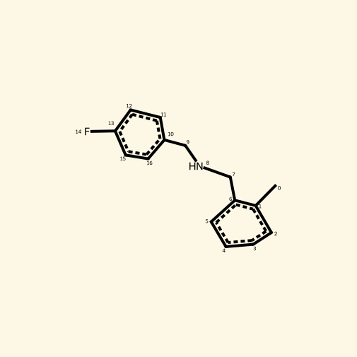 Cc1ccccc1CNCc1ccc(F)cc1